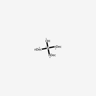 CCCCCCCCCC[Si](O)(CCCCCCCCCC)CCCCCCCCCC